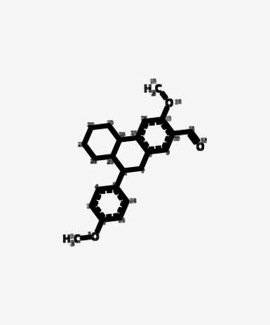 COc1ccc(C2Cc3cc(C=O)c(OC)cc3C3CCCCC23)cc1